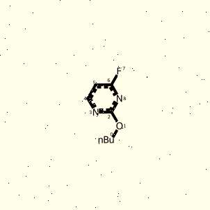 CCCCOc1nccc(F)n1